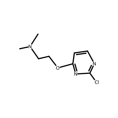 CN(C)CCOc1ccnc(Cl)n1